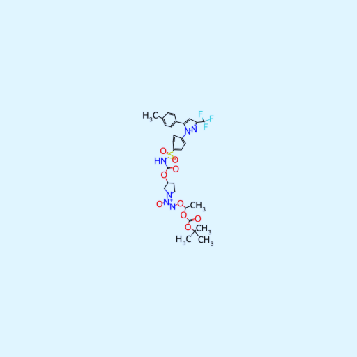 Cc1ccc(-c2cc(C(F)(F)F)nn2-c2ccc(S(=O)(=O)NC(=O)OC3CCN(/[N+]([O-])=N\OC(C)OC(=O)OC(C)(C)C)C3)cc2)cc1